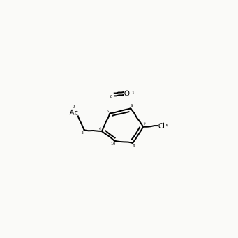 C=O.CC(=O)Cc1ccc(Cl)cc1